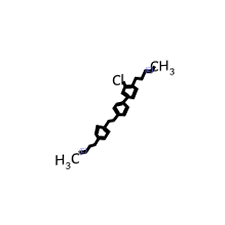 C/C=C/CCc1ccc(CCc2ccc(-c3ccc(CC/C=C/C)c(Cl)c3)cc2)cc1